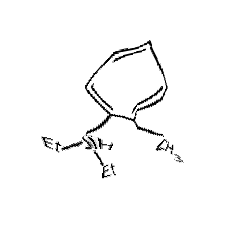 CC[SiH](CC)c1ccccc1C